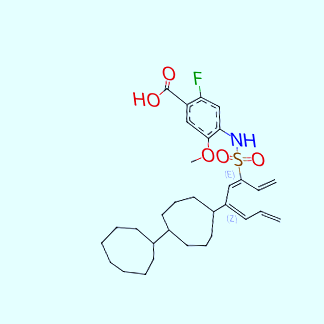 C=C/C=C(\C=C(/C=C)S(=O)(=O)Nc1cc(F)c(C(=O)O)cc1OC)C1CCCC(C2CCCCCCC2)CCC1